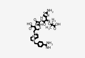 CC(C)(O/N=C(\C(=O)N[C@@H]1C(=O)N2C(C(=O)O)=C(C[n+]3ccc4n3CCN4Cc3ccc(C(=N)N)cc3)CS[C@H]12)c1csc(N)n1)C(=O)O